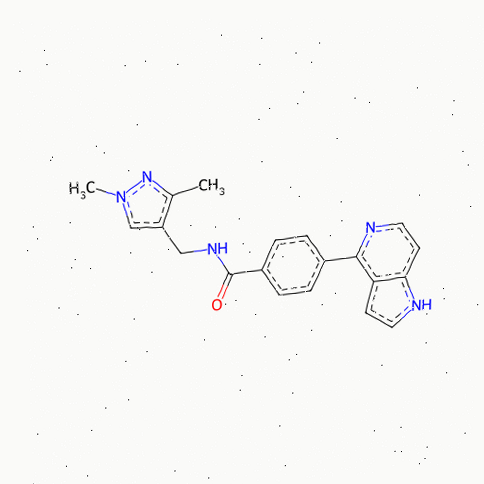 Cc1nn(C)cc1CNC(=O)c1ccc(-c2nccc3[nH]ccc23)cc1